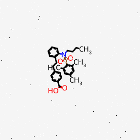 CCCCN(c1ccccc1CCc1ccc(C(=O)O)cc1)S(=O)(=O)c1c(C)cc(C)cc1C